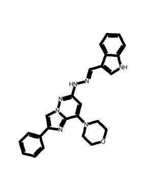 C(=N\Nc1cc(N2CCOCC2)c2nc(-c3ccccc3)cn2n1)/c1c[nH]c2ccccc12